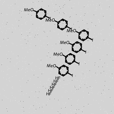 COc1ccc(I)cc1.COc1ccc(I)cc1.COc1ccc(I)cc1.COc1ccc(I)cc1.COc1ccc(I)cc1.COc1ccc(I)cc1.F.F.F.F.F.F